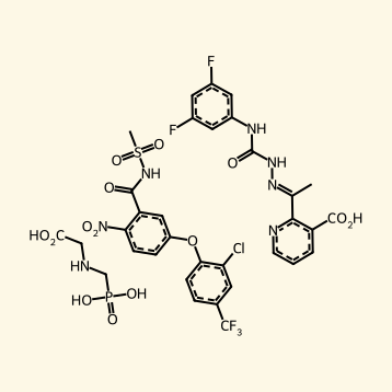 C/C(=N\NC(=O)Nc1cc(F)cc(F)c1)c1ncccc1C(=O)O.CS(=O)(=O)NC(=O)c1cc(Oc2ccc(C(F)(F)F)cc2Cl)ccc1[N+](=O)[O-].O=C(O)CNCP(=O)(O)O